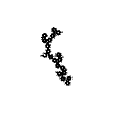 C=C/C=C\c1c(C)c2cc(-c3ccc(-n4c5ccc(-c6ccc(-n7c8ccccc8c8cc(C)ccc87)cc6)cc5c5c6c(ccc54)sc4ccccc46)cc3)ccc2n1-c1ccc(-c2ccc3c(c2)c2c4c(ccc2n3-c2cccc(-c3ccc5sc6ccc7c(c8cc(C)ccc8n7-c7cccc(-n8c9ccccc9c9ccccc98)c7)c6c5c3)c2)sc2ccccc24)cc1